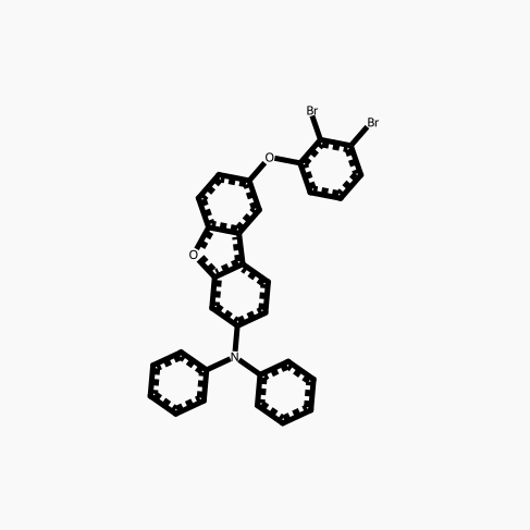 Brc1cccc(Oc2ccc3oc4cc(N(c5ccccc5)c5ccccc5)ccc4c3c2)c1Br